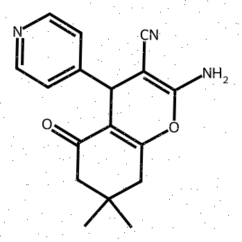 CC1(C)CC(=O)C2=C(C1)OC(N)=C(C#N)C2c1ccncc1